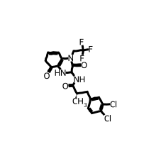 C[C@@H](Cc1ccc(Cl)c(Cl)c1)C(=O)NC1NC2=C(C=CCC2=O)N(CC(F)(F)F)C1=O